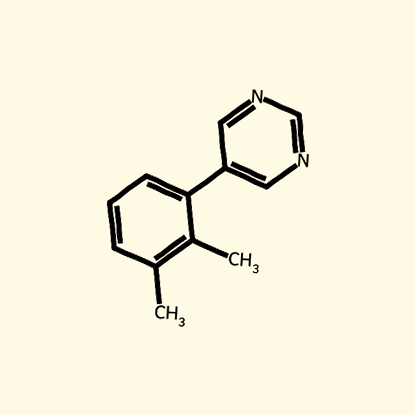 Cc1cccc(-c2cncnc2)c1C